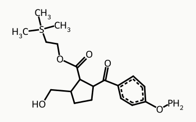 CS(C)(C)CCOC(=O)C1C(CO)CCC1C(=O)c1ccc(OP)cc1